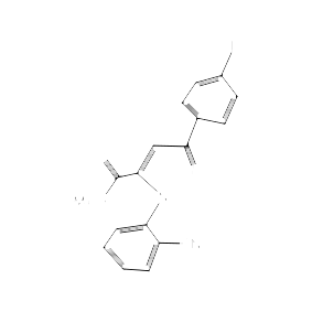 COC(=O)C(=CC(=O)c1ccc(F)cc1)Nc1ccccc1C#N